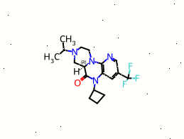 CC(C)N1CCN2c3ncc(C(F)(F)F)cc3N(C3CCC3)C(=O)[C@H]2C1